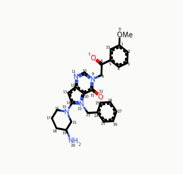 COc1cccc(C(=O)Cn2cnc3cc(N4CCCC(N)C4)n(Cc4ccccc4)c3c2=O)c1